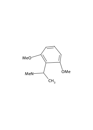 CNC(C)c1c(OC)cccc1OC